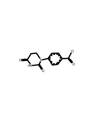 O=C1CCN(c2ccc(C(=O)Cl)cc2)C(=O)N1